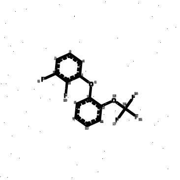 Fc1cccc(Oc2cc[c]cc2OC(F)(F)F)c1F